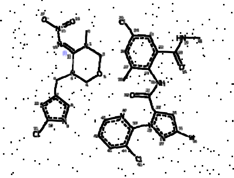 CN1COCN(Cc2cnc(Cl)s2)/C1=N/[N+](=O)[O-].CNC(=O)c1cc(Cl)cc(C)c1NC(=O)c1cc(Br)nn1-c1ncccc1Cl